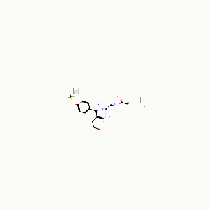 C=CC(=O)NCc1nc2c(c(-c3ccc(OC(C)(F)F)cc3)n1)CCCO2